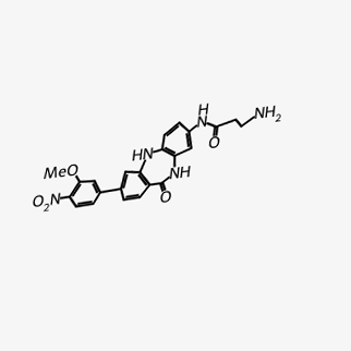 COc1cc(-c2ccc3c(c2)Nc2ccc(NC(=O)CCN)cc2NC3=O)ccc1[N+](=O)[O-]